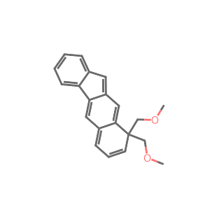 COCC1(COC)C=CC=c2cc3c(cc21)=Cc1ccccc1-3